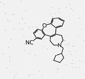 N#Cc1ccc2c(c1)C1=C(CCN(CC3CCCC3)CC1)c1ccccc1O2